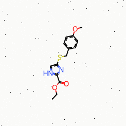 CCOC(=O)c1nc(SCc2ccc(OC)cc2)c[nH]1